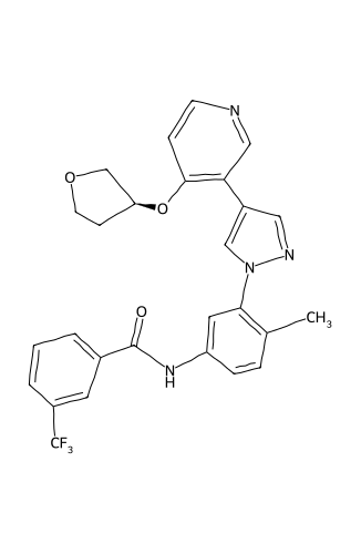 Cc1ccc(NC(=O)c2cccc(C(F)(F)F)c2)cc1-n1cc(-c2cnccc2O[C@H]2CCOC2)cn1